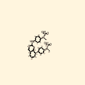 CN(c1ccc(Nc2ncc3cccc(-c4ccc(N(C)[SH](=O)=O)cc4)c3n2)cc1)[SH](=O)=O